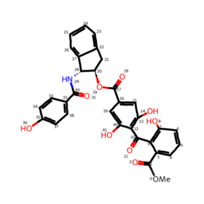 COC(=O)c1cccc(O)c1C(=O)c1c(O)cc(C(=O)O[C@@H]2Cc3ccccc3[C@H]2NC(=O)c2ccc(O)cc2)cc1O